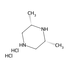 C[C@@H]1CNC[C@H](C)N1.Cl.Cl